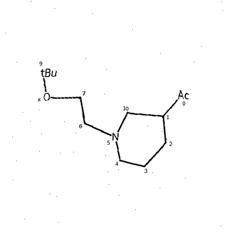 CC(=O)C1CCCN(CCOC(C)(C)C)C1